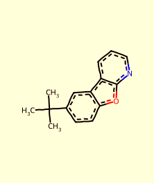 CC(C)(C)c1ccc2oc3ncccc3c2c1